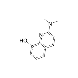 CN(C)c1ccc2cccc(O)c2n1